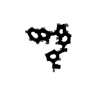 COc1cccc(Nc2ccc3ncc(-c4cc5ccccc5s4)n3n2)c1